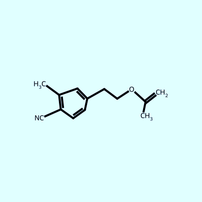 C=C(C)OCCc1ccc(C#N)c(C)c1